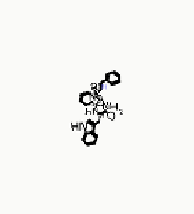 NC(=O)[C@H](Cc1c[nH]c2ccccc12)NC(=O)[C@@H]1CCCCN1S(=O)(=O)/C=C/c1ccccc1